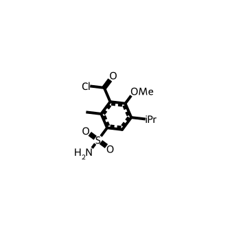 COc1c(C(C)C)cc(S(N)(=O)=O)c(C)c1C(=O)Cl